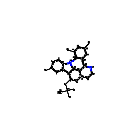 Cc1ccc2c(c1)c1c(CC(C)(C)C#N)cc3ccnc4c5cc(C)cc(C)c5n2c1c34